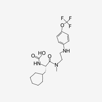 CN(CCNc1ccc(OC(F)(F)F)cc1)C(=O)[C@H](CC1CCCCC1)NC(=O)O